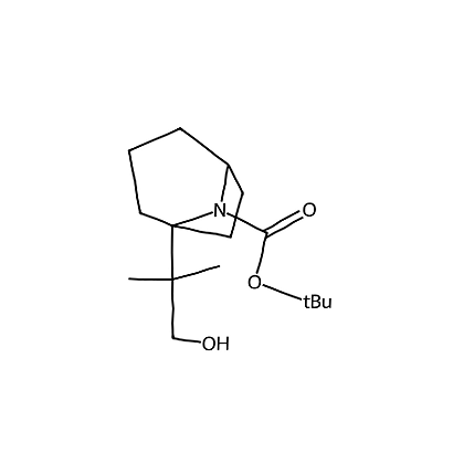 CC(C)(C)OC(=O)N1C2CCCC1(C(C)(C)CO)CC2